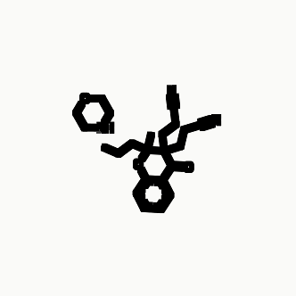 C1COCCN1.CCCC1(C)Oc2ccccc2C(=O)C1(CCC#N)CCC#N